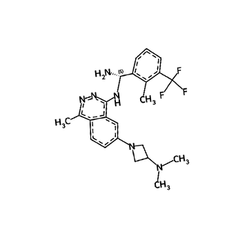 Cc1c([C@@H](N)Nc2nnc(C)c3ccc(N4CC(N(C)C)C4)cc23)cccc1C(F)(F)F